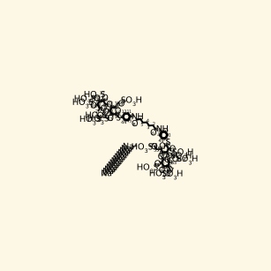 O=C(CCCCCC(=O)Nc1ccc(S[C@@H]2O[C@H](COS(=O)(=O)O)[C@@H](O[C@H]3O[C@H](COS(=O)(=O)O)[C@@H](OS(=O)(=O)O)[C@H](OS(=O)(=O)O)[C@H]3OS(=O)(=O)O)[C@H](OS(=O)(=O)O)[C@H]2OS(=O)(=O)O)cc1)Nc1ccc(S[C@@H]2O[C@H](COS(=O)(=O)O)[C@@H](O[C@H]3O[C@H](COS(=O)(=O)O)[C@@H](OS(=O)(=O)O)[C@H](OS(=O)(=O)O)[C@H]3OS(=O)(=O)O)[C@H](OS(=O)(=O)O)[C@H]2OS(=O)(=O)O)cc1.[Na+].[Na+].[Na+].[Na+].[Na+].[Na+].[Na+].[Na+].[Na+].[Na+].[Na+].[Na+].[Na+].[Na+]